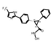 O=C(NO)[C@@H]1[C@H](c2ccccc2)[C@H]1c1ccc(-c2ncc(C(F)(F)F)[nH]2)cc1